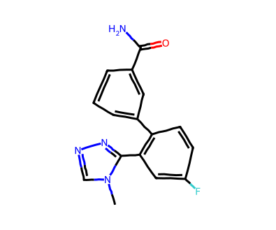 Cn1cnnc1-c1cc(F)ccc1-c1cccc(C(N)=O)c1